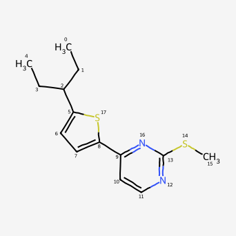 CCC(CC)c1ccc(-c2ccnc(SC)n2)s1